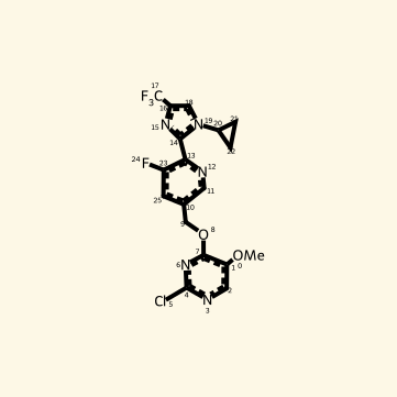 COc1cnc(Cl)nc1OCc1cnc(-c2nc(C(F)(F)F)cn2C2CC2)c(F)c1